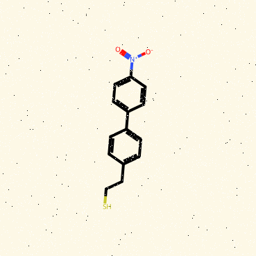 O=[N+]([O-])c1ccc(-c2ccc(CCS)cc2)cc1